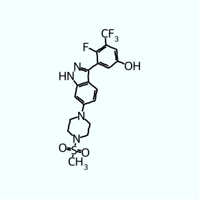 CS(=O)(=O)N1CCN(c2ccc3c(-c4cc(O)cc(C(F)(F)F)c4F)n[nH]c3c2)CC1